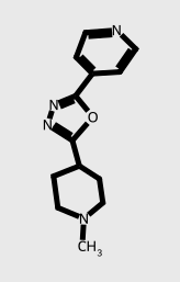 CN1CCC(c2nnc(-c3ccncc3)o2)CC1